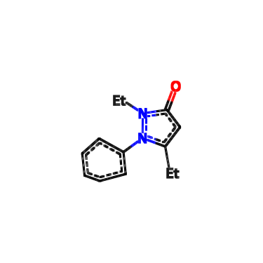 CCc1cc(=O)n(CC)n1-c1ccccc1